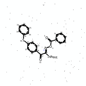 CCCCC/C(=N\OC(=O)c1ccccc1)C(=O)c1ccc(Sc2ccccc2)cc1